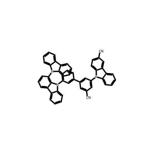 N#Cc1cc(-c2cccc(-n3c4ccccc4c4cccc(-n5c6ccccc6c6ccccc65)c43)c2)cc(-n2c3ccccc3c3cc(C#N)ccc32)c1